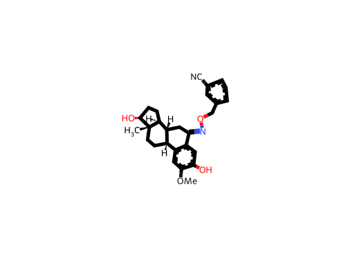 COc1cc2c(cc1O)C(=NOCc1cccc(C#N)c1)C[C@@H]1[C@@H]2CC[C@]2(C)[C@@H](O)CC[C@@H]12